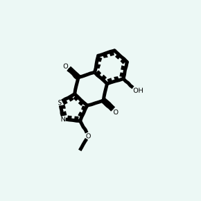 COc1nsc2c1C(=O)c1c(O)cccc1C2=O